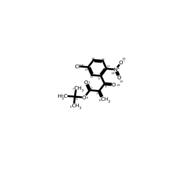 C=C(C(=O)OC(C)(C)C)C(=O)c1cc(Cl)ccc1[N+](=O)[O-]